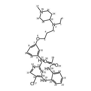 CCN(CCCOc1cccc(Nc2ncc(Cl)c(Nc3ccccc3NS(C)(=O)=O)n2)c1)C1CCN(C)CC1